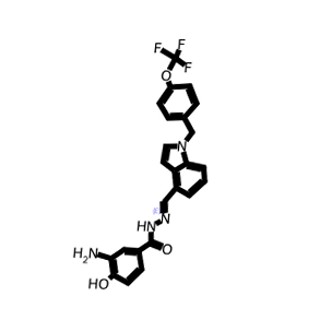 Nc1cc(C(=O)N/N=C/c2cccc3c2ccn3Cc2ccc(OC(F)(F)F)cc2)ccc1O